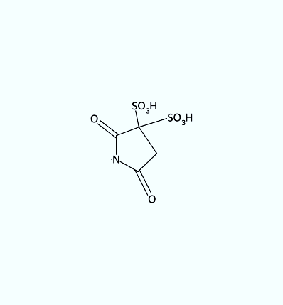 O=C1CC(S(=O)(=O)O)(S(=O)(=O)O)C(=O)[N]1